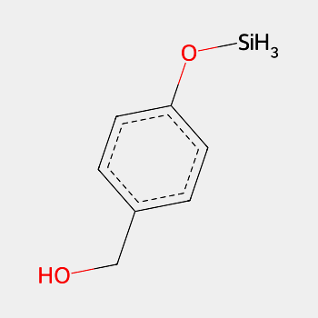 OCc1ccc(O[SiH3])cc1